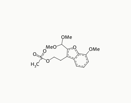 COc1cccc2c(CCOS(C)(=O)=O)c(C(OC)OC)oc12